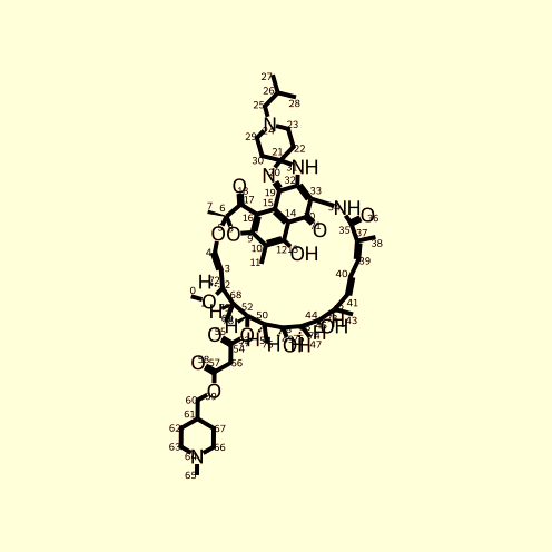 CO[C@H]1/C=C/O[C@@]2(C)Oc3c(C)c(O)c4c(c3C2=O)C2=NC3(CCN(CC(C)C)CC3)NC2=C(NC(=O)/C(C)=C\C=C\[C@H](C)[C@H](O)[C@@H](C)[C@@H](O)[C@@H](C)[C@H](OC(=O)CC(=O)OCC2CCN(C)CC2)[C@@H]1C)C4=O